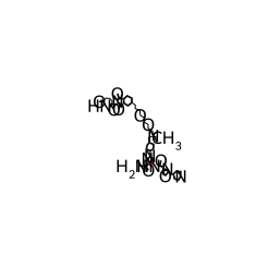 CN(CCOCCOCCCc1ccc2c(c1)C(=O)N(C1CCC(=O)NC1=O)C2=O)Cc1ccc(-n2cc(NC(=O)c3coc(-c4ccncc4)n3)c(C(N)=O)n2)cc1